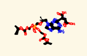 CC(C)OC(=O)OCOP(=O)(CO[C@H](C)Cn1cnc2c(N)nc(/C(=C\C(=O)O)C(=O)O)nc21)OCOC(=O)OC(C)C